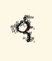 CO[C@@H]1C[C@@H](CC(C)[C@@H]2CC(=O)[C@H](C)/C=C(\C)[C@@H](O)[C@@H](OC)C(=O)[C@H](C)C[C@H](C)/C=C/C=C/C=C(/C)[C@H](OCCNc3ccc(S/C(N)=C(\C#N)c4ccccc4C(F)(F)F)cc3)C[C@@H]3CC[C@@H](C)[C@@](O)(O3)C(=O)C(=O)N3CCCC[C@H]3C(=O)O2)CC[C@H]1O